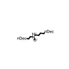 CCCCCCCCCCCCCC[NH+]([O-])CCCCCCCCCCCC